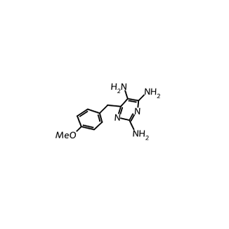 COc1ccc(Cc2nc(N)nc(N)c2N)cc1